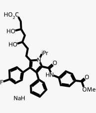 COC(=O)c1ccc(NC(=O)c2c(-c3ccccc3)c(-c3ccc(F)cc3)c(CCC(O)CC(O)CC(=O)O)n2C(C)C)cc1.[NaH]